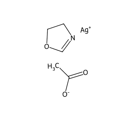 C1=NCCO1.CC(=O)[O-].[Ag+]